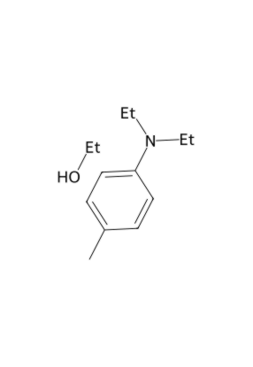 CCN(CC)c1ccc(C)cc1.CCO